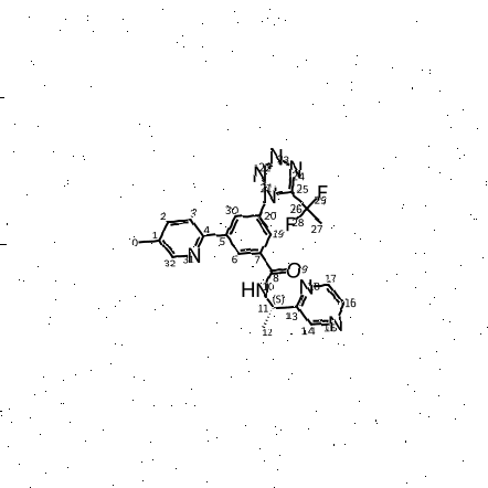 Cc1ccc(-c2cc(C(=O)N[C@@H](C)c3cnccn3)cc(-n3nnnc3C(C)(F)F)c2)nc1